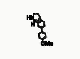 COc1ccc(-c2ccc3c(c2)[C@@H]2CC3CCN2)cc1